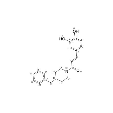 O=C(C=Cc1ccc(O)c(O)c1)N1CCC(Cc2ccccc2)CC1